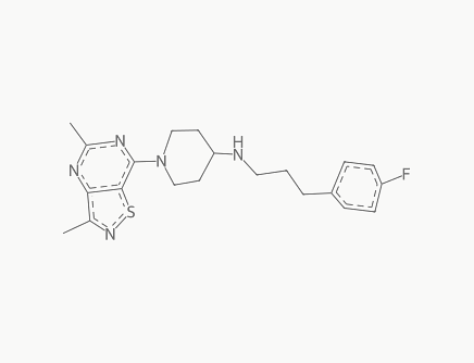 Cc1nc(N2CCC(NCCCc3ccc(F)cc3)CC2)c2snc(C)c2n1